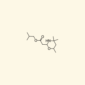 CC(C)COC(=O)CC1NC(C)(C)CC(C)O1